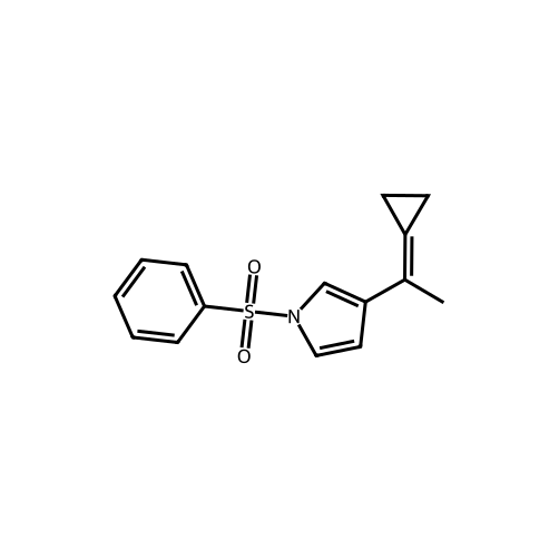 CC(=C1CC1)c1ccn(S(=O)(=O)c2ccccc2)c1